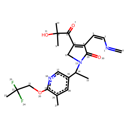 C=N/C=C\C1=C(C(=O)C(C)(C)O)CN(C(C)c2cnc(OCC(C)(F)F)c(C)c2)C1=O